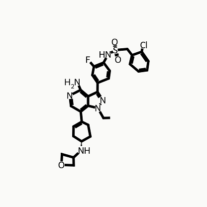 CCn1nc(-c2ccc(NS(=O)(=O)Cc3ccccc3Cl)c(F)c2)c2c(N)ncc(C3=CC[C@@H](NC4COC4)CC3)c21